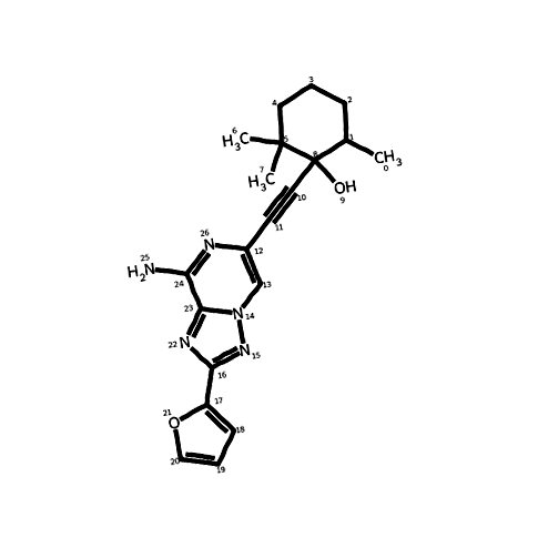 CC1CCCC(C)(C)C1(O)C#Cc1cn2nc(-c3ccco3)nc2c(N)n1